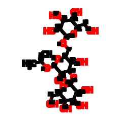 CC(C)OC1OC(COC2OC(CO)C(O)C(O)C2O)C(O)C(OC2OC(CO)C(O)C(O)C2O)C1O